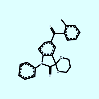 Cc1ccccc1C(=O)c1ccc2c(c1)C1(OCCCO1)C(=O)N2c1ccccc1